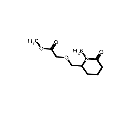 BN1C(=O)CCCC1COCC(=O)OC